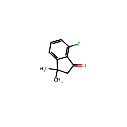 CC1(C)CC(=O)c2c(F)cccc21